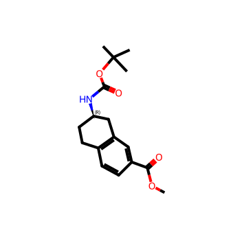 COC(=O)c1ccc2c(c1)C[C@H](NC(=O)OC(C)(C)C)CC2